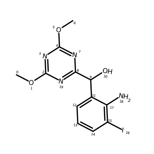 COc1nc(OC)nc(C(O)c2cccc(I)c2N)n1